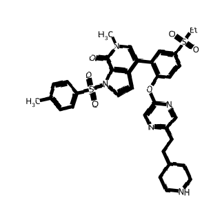 CCS(=O)(=O)c1ccc(Oc2cnc(CCC3CCNCC3)cn2)c(-c2cn(C)c(=O)c3c2ccn3S(=O)(=O)c2ccc(C)cc2)c1